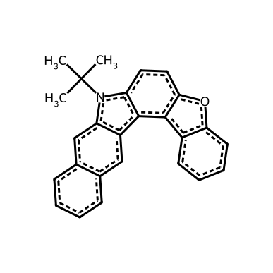 CC(C)(C)n1c2cc3ccccc3cc2c2c3c(ccc21)oc1ccccc13